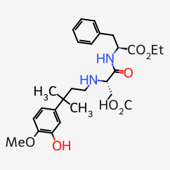 CCOC(=O)[C@H](Cc1ccccc1)NC(=O)[C@H](CC(=O)O)NCCC(C)(C)c1ccc(OC)c(O)c1